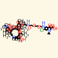 CC[C@H]1OC(=O)[C@H](C)[C@@H](O[C@H]2C[C@@](C)(OC)[C@@H](OCCCNC(=O)CCOCCOCCNc3cc4c(=O)c(C(=O)O)cn(C5CC5)c4cc3Cl)[C@H](C)O2)[C@H](C)[C@@H](O[C@@H]2O[C@H](C)C[C@H](N(C)C)[C@H]2O)[C@](C)(O)C[C@@H](C)CN(C)[C@H](C)[C@H]2C[C@H](O)O[C@@]21C